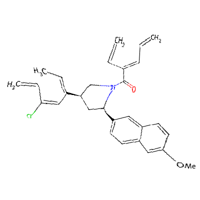 C=C/C=C(\C=C)C(=O)N1C[C@H](C(=C/C)/C=C(/Cl)C=C)C[C@@H]1c1ccc2cc(OC)ccc2c1